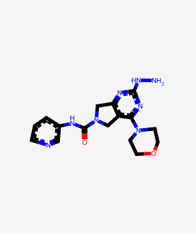 NNc1nc2c(c(N3CCOCC3)n1)CN(C(=O)Nc1cccnc1)C2